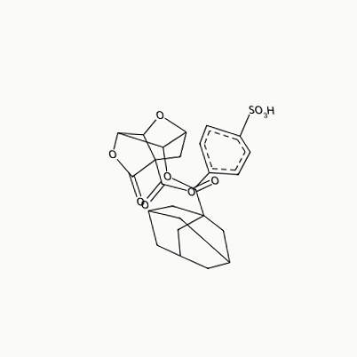 O=C(OC1C2CC3(C(=O)Oc4ccc(S(=O)(=O)O)cc4)C(=O)OC1C3O2)C12CC3CC(CC(C3)C1)C2